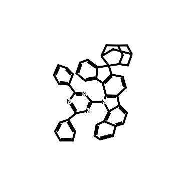 c1ccc(-c2nc(-c3ccccc3)nc(-n3c4c5c(ccc4c4ccc6ccccc6c43)C3(c4ccccc4-5)C4CC5CC(C4)CC3C5)n2)cc1